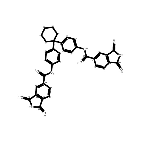 O=C(Oc1ccc(C2(c3ccc(OC(=O)c4ccc5c(c4)C(=O)OC5=O)cc3)CCCCC2)cc1)c1ccc2c(c1)C(=O)OC2=O